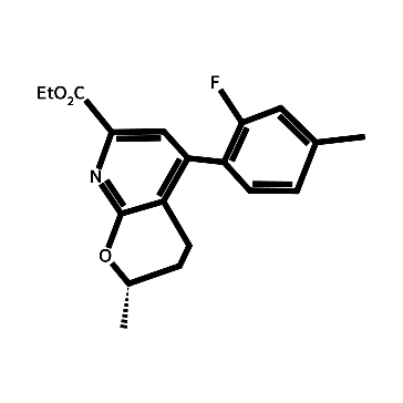 CCOC(=O)c1cc(-c2ccc(C)cc2F)c2c(n1)O[C@@H](C)CC2